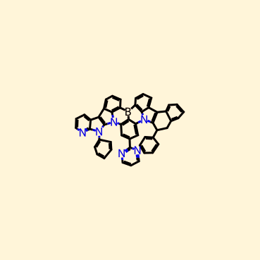 c1ccc(C2Cc3ccccc3-c3c2n2c4c(cccc34)B3c4c-2cc(-c2ncccn2)cc4-n2c4c3cccc4c3c4cccnc4n(-c4ccccc4)c32)cc1